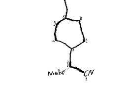 CN[C@@H](C#N)C1CCC(C)CC1